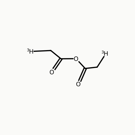 [3H]CC(=O)OC(=O)C[3H]